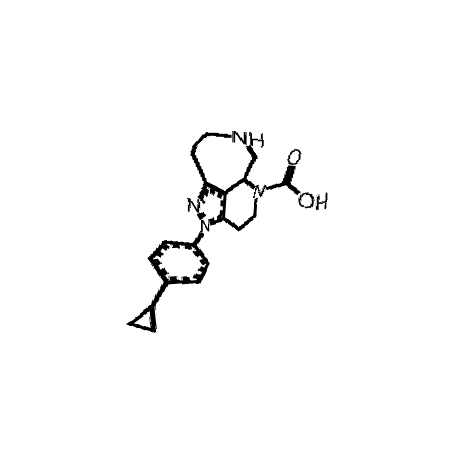 O=C(O)N1CCc2c3c(nn2-c2ccc(C4CC4)cc2)CCNCC31